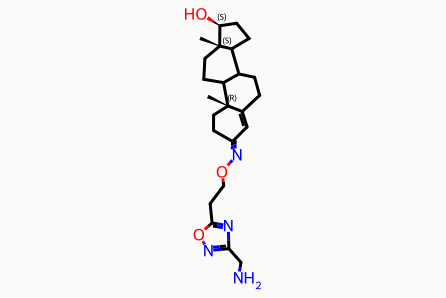 C[C@]12CCC(=NOCCc3nc(CN)no3)C=C1CCC1C2CC[C@@]2(C)C1CC[C@@H]2O